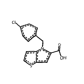 O=C(O)c1cc2sccc2n1Cc1ccc(Cl)cc1